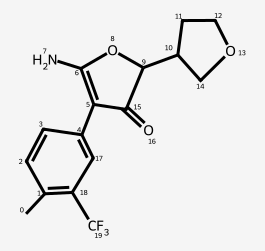 Cc1ccc(C2=C(N)OC(C3CCOC3)C2=O)cc1C(F)(F)F